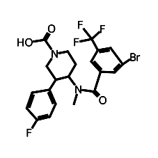 CN(C(=O)c1cc(Br)cc(C(F)(F)F)c1)C1CCN(C(=O)O)CC1c1ccc(F)cc1